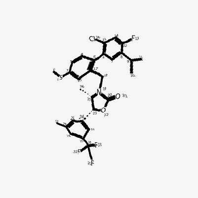 CSc1ccc(-c2cc(C(C)C)c(F)cc2Cl)c(CN2C(=O)O[C@H](c3cc(C)cc(C(F)(F)F)c3)[C@@H]2C)c1